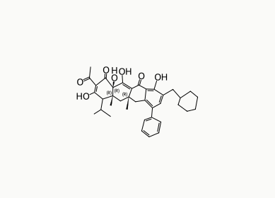 CC(=O)C1=C(O)C(C(C)C)[C@@]2(C)C[C@@]3(C)Cc4c(-c5ccccc5)cc(CC5CCCCC5)c(O)c4C(=O)C3=C(O)[C@@]2(O)C1=O